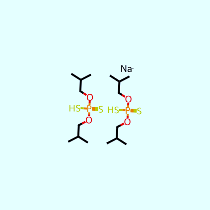 CC(C)COP(=S)(S)OCC(C)C.CC(C)COP(=S)(S)OCC(C)C.[Na]